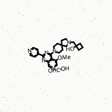 COc1cncc2nc(-c3ccncc3)nc(N3CCC4(CCN(CC5(O)CCC5)C4)CC3)c12.O=CO